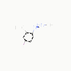 CN/C=N/c1ccc(I)cc1C